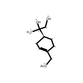 CC(=O)OCC1=CC[C@@H](C(C)(O)CO)CC1